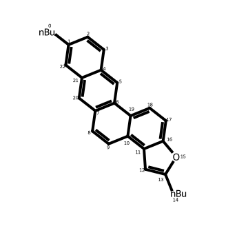 CCCCc1ccc2cc3c(ccc4c5cc(CCCC)oc5ccc34)cc2c1